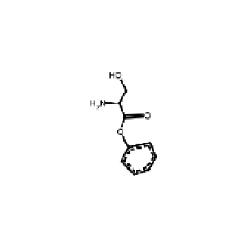 N[C@@H](CO)C(=O)Oc1ccccc1